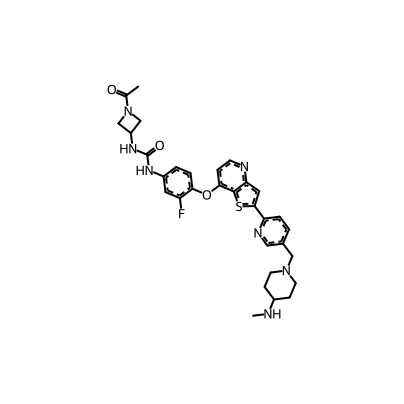 CNC1CCN(Cc2ccc(-c3cc4nccc(Oc5ccc(NC(=O)NC6CN(C(C)=O)C6)cc5F)c4s3)nc2)CC1